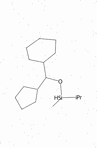 CC(C)[SiH](C)OC(C1CCCCC1)C1CCCC1